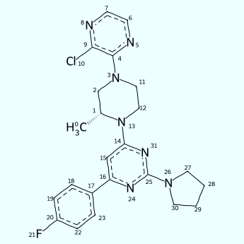 C[C@@H]1CN(c2nccnc2Cl)CCN1c1cc(-c2ccc(F)cc2)nc(N2CCCC2)n1